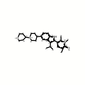 Cc1cc(-c2[nH]c3ccc(C4CCN(C5CCOCC5)CC4)cc3c2C(C)C)c(C)n(C)c1=O